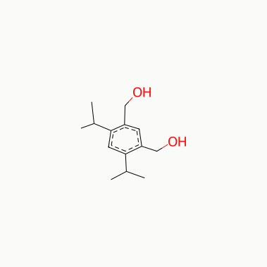 CC(C)c1cc(C(C)C)c(CO)cc1CO